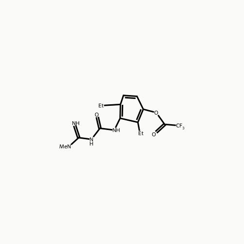 CCc1ccc(OC(=O)C(F)(F)F)c(CC)c1NC(=O)NC(=N)NC